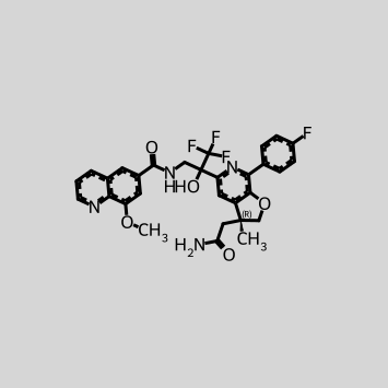 COc1cc(C(=O)NCC(O)(c2cc3c(c(-c4ccc(F)cc4)n2)OC[C@]3(C)CC(N)=O)C(F)(F)F)cc2cccnc12